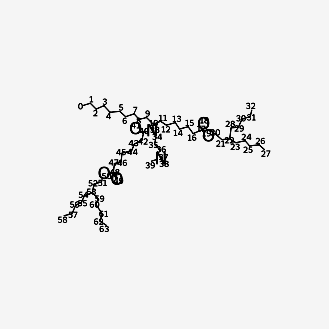 CCCCCCCCCCC(CCCCCCC(=O)OCCC(CCCCC)CCCCC)N(CCCN(C)C)C(=O)CCCCCCC(=O)OCCC(CCCCC)CCCCC